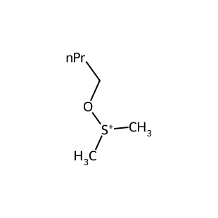 CCCCO[S+](C)C